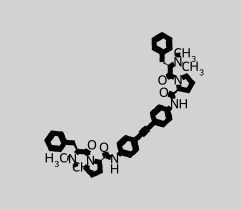 CN(C)[C@@H](Cc1ccccc1)C(=O)N1CCC[C@H]1C(=O)Nc1ccc(C#Cc2ccc(NC(=O)[C@@H]3CCCN3C(=O)[C@H](Cc3ccccc3)N(C)C)cc2)cc1